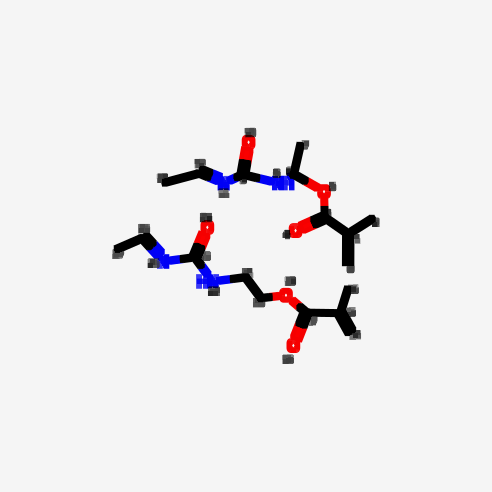 C=C(C)C(=O)OC(C)NC(=O)N=CC.C=C(C)C(=O)OCCNC(=O)N=CC